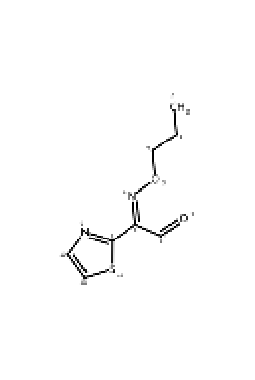 CCCON=C([C]=O)c1nccs1